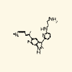 C=N/C=C\C=C(/C)c1cc2c(-c3cccc(NCCN)n3)n[nH]c2cn1